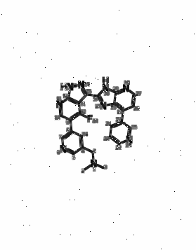 CN(C)Cc1cncc(-c2cnc3[nH]nc(-c4nc5c(-c6cccnc6)ccnc5[nH]4)c3c2F)c1